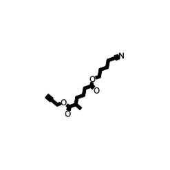 C#CCOC(=O)C(C)CCCC(=O)OCCCCC#N